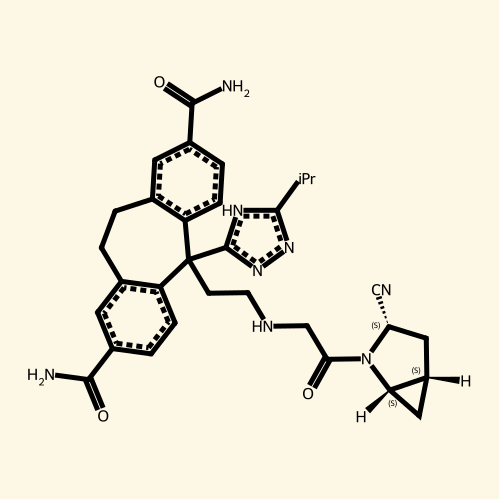 CC(C)c1nnc(C2(CCNCC(=O)N3[C@H](C#N)C[C@@H]4C[C@@H]43)c3ccc(C(N)=O)cc3CCc3cc(C(N)=O)ccc32)[nH]1